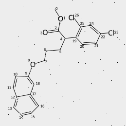 COC(=O)C(CCCOc1ccc2ccccc2c1)c1ccc(Cl)cc1Cl